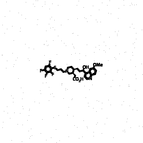 COc1ccc2nccc([C@H](O)CC[C@@H]3CCN(CCCSc4c(F)cc(F)c(F)c4F)C[C@@H]3CC(=O)O)c2c1